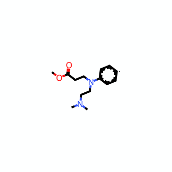 COC(=O)CCN(CCN(C)C)c1cc[c]cc1